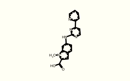 Cn1c(C(=O)O)cc2ccc(Nc3nccc(-c4ccccn4)n3)cc21